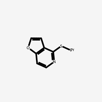 CC(C)Sc1nccc2occc12